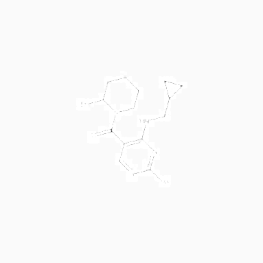 CCC1CCCCN1C(=O)c1cnc(C(C)C)nc1NCC1CC1